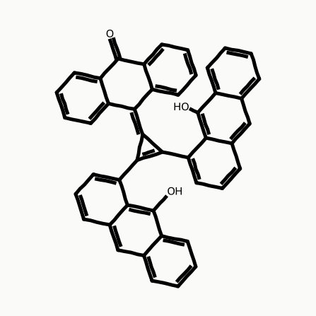 O=C1c2ccccc2C(=C2C(c3cccc4cc5ccccc5c(O)c34)=C2c2cccc3cc4ccccc4c(O)c23)c2ccccc21